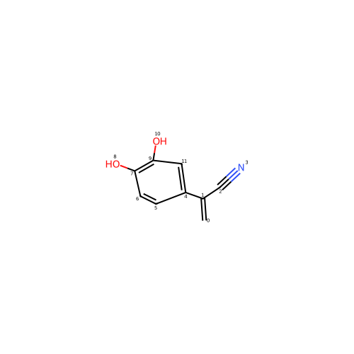 C=C(C#N)c1ccc(O)c(O)c1